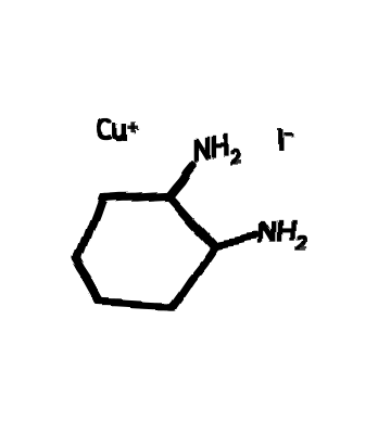 NC1CCCCC1N.[Cu+].[I-]